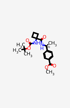 COC(=O)c1ccc([C@H](C)NC(=O)C2(NC(=O)OC(C)(C)C)CCC2)cc1